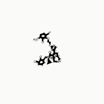 Cc1ccc(F)c(OCCOc2ncc(C3=C(C(=O)N(Cc4cccc(Cl)c4Cl)C4CC4)[C@H]4CNCC(C3)N4)s2)c1Cl